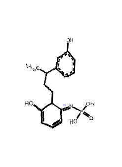 CC(CCC1C(O)=CC=C/C1=N\P(=O)(O)O)c1cccc(O)c1